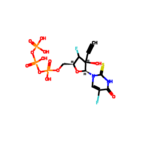 C#C[C@@]1(O)C(F)[C@@H](COP(=O)(O)OP(=O)(O)OP(=O)(O)O)O[C@H]1n1cc(F)c(=O)[nH]c1=S